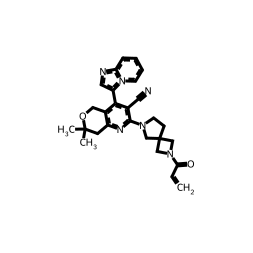 C=CC(=O)N1CC2(CCN(c3nc4c(c(-c5cnc6ccccn56)c3C#N)COC(C)(C)C4)C2)C1